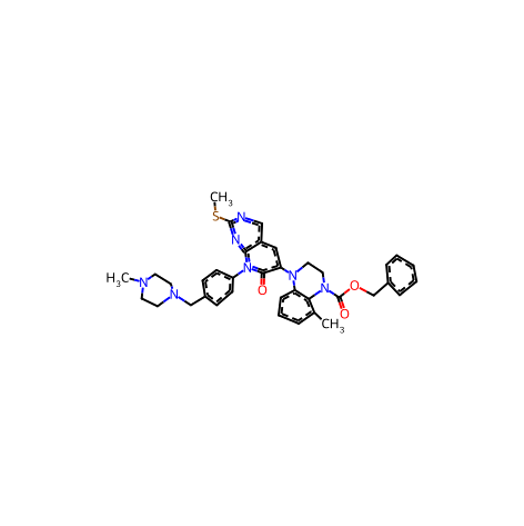 CSc1ncc2cc(N3CCN(C(=O)OCc4ccccc4)c4c(C)cccc43)c(=O)n(-c3ccc(CN4CCN(C)CC4)cc3)c2n1